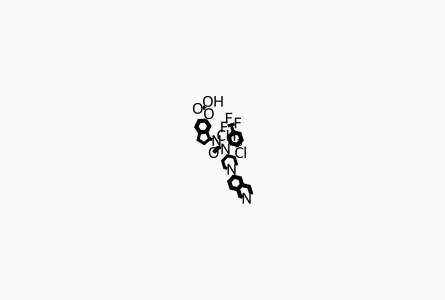 CN(C(=O)N(c1cc(C(F)(F)F)ccc1Cl)C1CCN(c2ccc3cnccc3c2)CC1)C1CCc2ccc(OC(=O)O)cc21